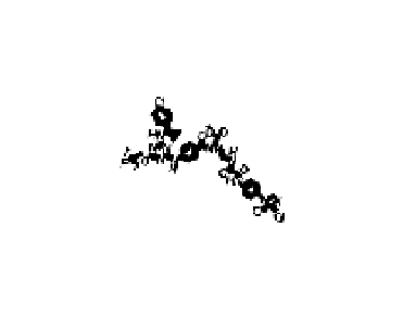 COC(=O)[C@H](CCNC(=O)C(=O)Nc1ccc(-n2cnc(Cl)c2Cl)cc1)NC(=O)c1ccc(Nc2nc(NC3(c4ccc(Cl)cc4)CC3)nc(OCC(F)(F)F)n2)cc1